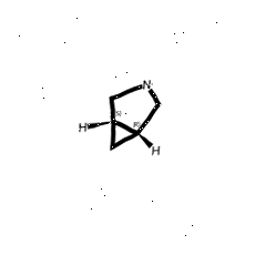 C1[N]C[C@H]2C[C@@H]12